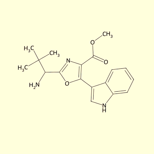 COC(=O)c1nc(C(N)C(C)(C)C)oc1-c1c[nH]c2ccccc12